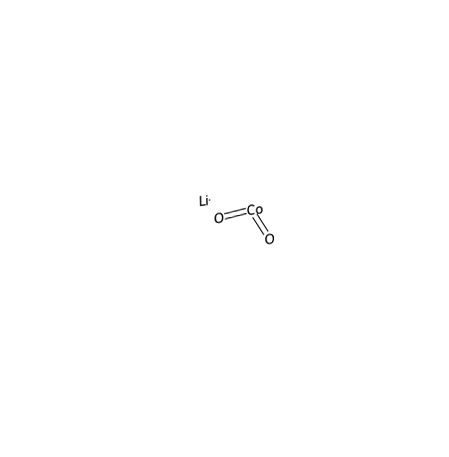 [Li].[O]=[Co]=[O]